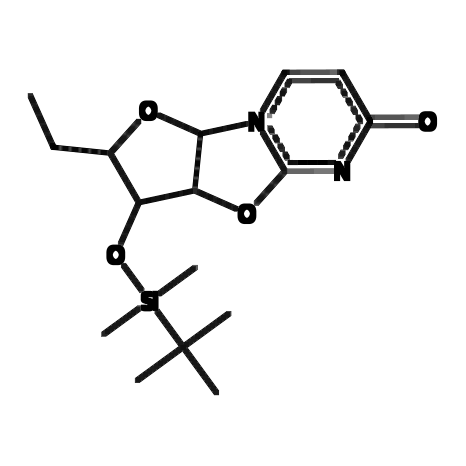 CCC1OC2C(Oc3nc(=O)ccn32)C1O[Si](C)(C)C(C)(C)C